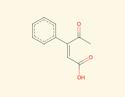 CC(=O)C(=CC(=O)O)c1ccccc1